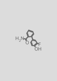 NC(=O)c1ccccc1-c1ccc(O)c(F)c1